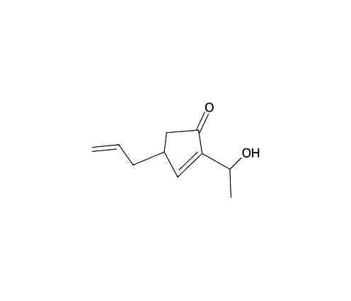 C=CCC1C=C(C(C)O)C(=O)C1